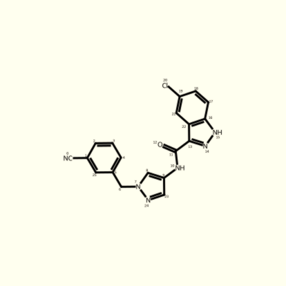 N#Cc1cccc(Cn2cc(NC(=O)c3n[nH]c4ccc(Cl)cc34)cn2)c1